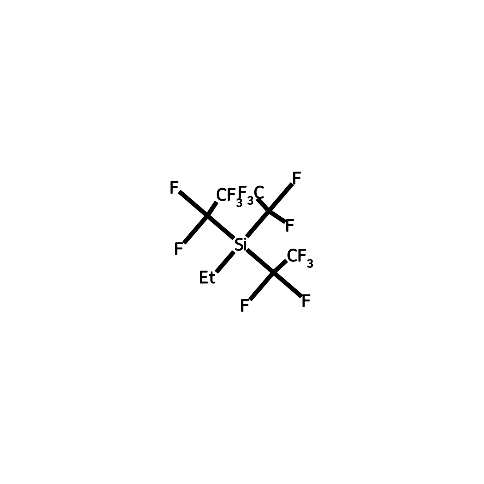 CC[Si](C(F)(F)C(F)(F)F)(C(F)(F)C(F)(F)F)C(F)(F)C(F)(F)F